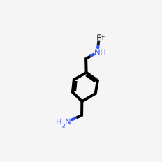 CCNCC1=CCC(CN)C=C1